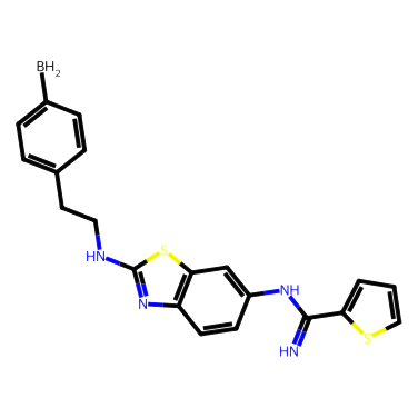 Bc1ccc(CCNc2nc3ccc(NC(=N)c4cccs4)cc3s2)cc1